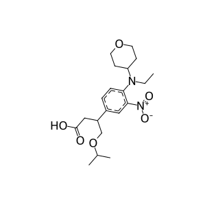 CCN(c1ccc(C(COC(C)C)CC(=O)O)cc1[N+](=O)[O-])C1CCOCC1